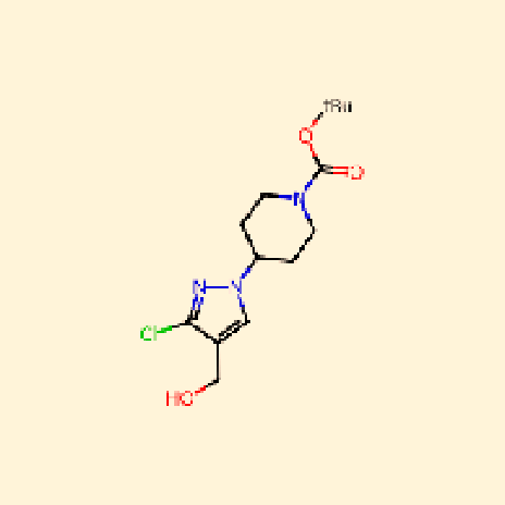 CC(C)(C)OC(=O)N1CCC(n2cc(CO)c(Cl)n2)CC1